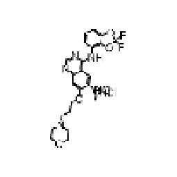 COc1cc2c(Nc3cccc4c3OC(F)(F)O4)ncnc2cc1OCCCN1CCOCC1.Cl.Cl